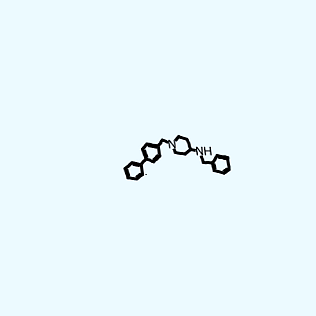 [c]1ccccc1-c1ccc(CN2CCC(NCc3ccccc3)CC2)cc1